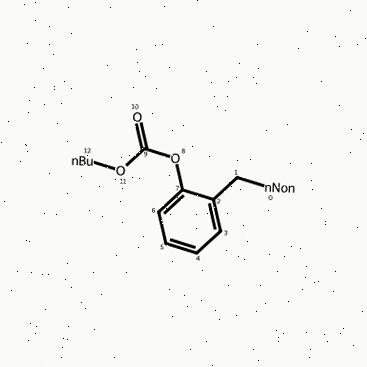 CCCCCCCCCCc1ccccc1OC(=O)OCCCC